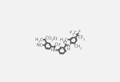 CCOC(=O)C(C)c1cc(C(=O)Nc2cccc(C(=O)Nc3c(C)cc(C(F)(C(F)(F)F)C(F)(F)F)cc3C)c2F)ccc1C#N